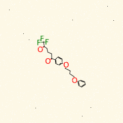 O=C(CCCC(=O)C(F)(F)F)c1ccc(OCCCCOc2ccccc2)cc1